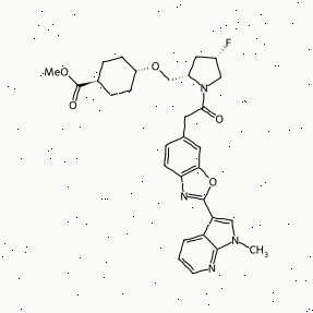 COC(=O)[C@H]1CC[C@H](OC[C@@H]2C[C@H](F)CN2C(=O)Cc2ccc3nc(-c4cn(C)c5ncccc45)oc3c2)CC1